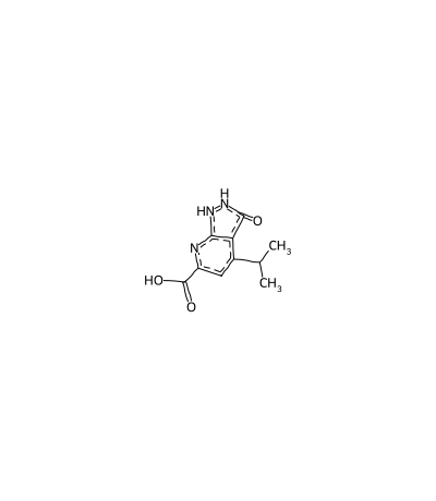 CC(C)c1cc(C(=O)O)nc2[nH][nH]c(=O)c12